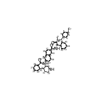 CN(Cc1ccc(F)cc1)C(=O)[C@@H](NC(=O)c1ccc2nc(NC(=O)c3ccccc3C3CCNCC3)ccc2c1)c1ccccc1